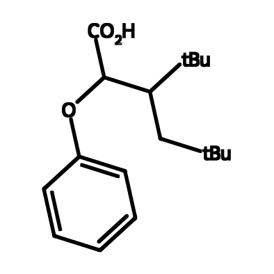 CC(C)(C)CC(C(Oc1ccccc1)C(=O)O)C(C)(C)C